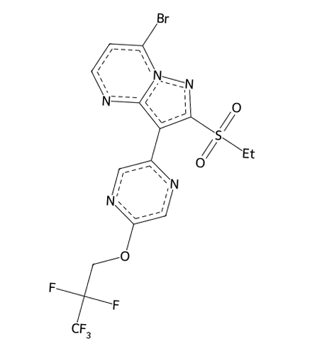 CCS(=O)(=O)c1nn2c(Br)ccnc2c1-c1cnc(OCC(F)(F)C(F)(F)F)cn1